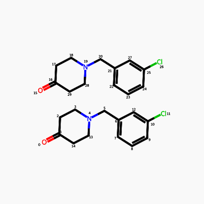 O=C1CCN(Cc2cccc(Cl)c2)CC1.O=C1CCN(Cc2cccc(Cl)c2)CC1